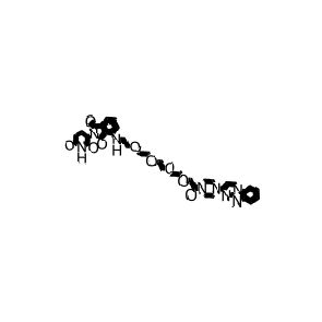 O=C1CCC(N2C(=O)c3cccc(NCCOCCOCCOCCOCC(=O)N4CCN(c5ccn6c(n5)nc5ccccc56)CC4)c3C2=O)C(=O)N1